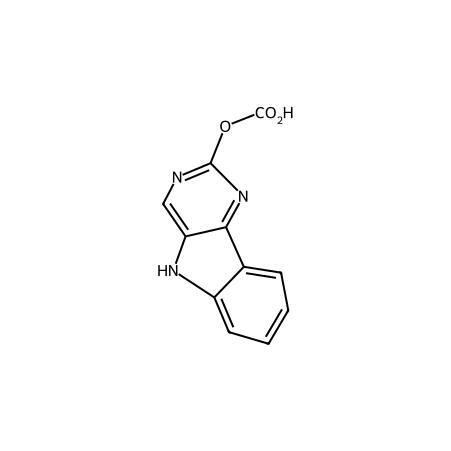 O=C(O)Oc1ncc2[nH]c3ccccc3c2n1